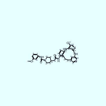 COc1cccc(NC(=O)N2CCC(CC(=O)Nc3ccc4cc3CCc3cncc(c3)Nc3ncc(Cl)c(n3)N4)CC2)c1